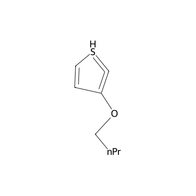 CCCCOC1=C=[SH]C=C1